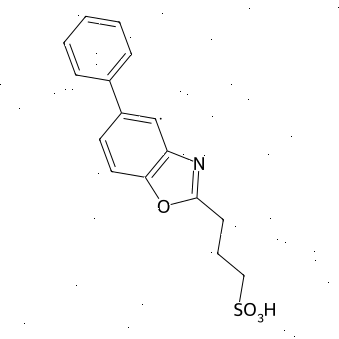 O=S(=O)(O)CCCc1nc2[c]c(-c3ccccc3)ccc2o1